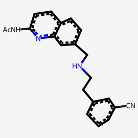 CC(=O)Nc1ccc2ccc(CNCCc3cccc(C#N)c3)cc2n1